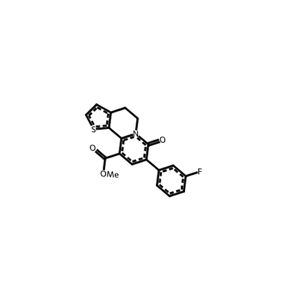 COC(=O)c1cc(-c2cccc(F)c2)c(=O)n2c1-c1sccc1CC2